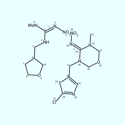 CN/C(=N/[N+](=O)[O-])NCC1CCOC1.CN1COCN(Cc2cnc(Cl)s2)/C1=N/[N+](=O)[O-]